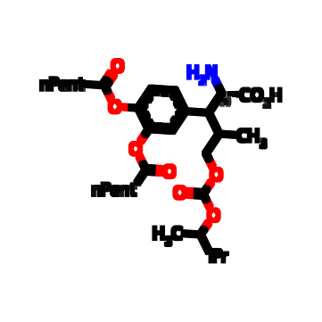 CCCCCC(=O)Oc1ccc(C(C(C)COC(=O)OC(C)C(C)C)[C@H](N)C(=O)O)cc1OC(=O)CCCCC